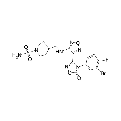 NS(=O)(=O)N1CCC(CNc2nonc2-c2noc(=O)n2-c2ccc(F)c(Br)c2)CC1